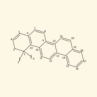 IC1(I)CC=Cc2ccc3c(ccc4c5ccccc5ccc34)c21